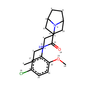 CCCCCCN1C2CCC1CC(C(=O)Nc1cc(Cl)ccc1OC)C2